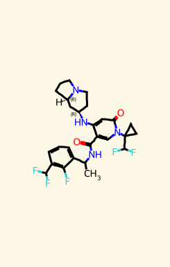 CC(NC(=O)c1cn(C2(C(F)F)CC2)c(=O)cc1N[C@@H]1CCN2CCC[C@@H]2C1)c1cccc(C(F)F)c1F